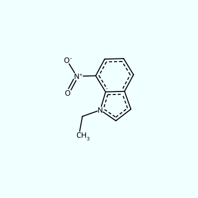 CCn1ccc2cccc([N+](=O)[O-])c21